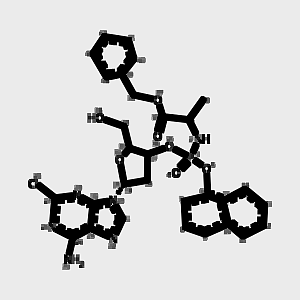 CC(NP(=O)(Oc1cccc2ccccc12)OC1C[C@H](n2cnc3c(N)nc(Cl)nc32)OC1CO)C(=O)OCc1ccccc1